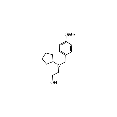 COc1ccc(CN(CCO)C2CCCC2)cc1